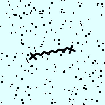 CC(C)(C)CCCOCCCOCC(C)(C)C